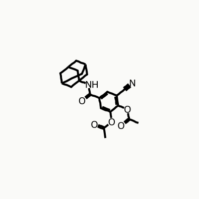 CC(=O)Oc1cc(C(=O)NC23CC4CC(CC(C4)C2)C3)cc(C#N)c1OC(C)=O